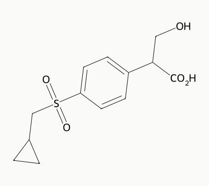 O=C(O)C(CO)c1ccc(S(=O)(=O)CC2CC2)cc1